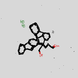 Cl.Cl.OCCCC(CO)(c1cccc2c1Cc1ccccc1-2)c1cccc2c1Cc1ccccc1-2.[Zr]